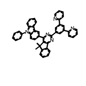 CC1(C)c2ccccc2-c2nc(-c3cc(-c4ccccn4)cc(-c4ccccn4)c3)nc(-c3ccc4c(c3)c3ccccc3n4-c3ccccc3)c21